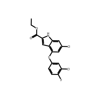 CCOC(=O)c1cc2c(Sc3ccc(F)c(Cl)c3)cc(Cl)cc2[nH]1